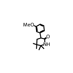 COc1cccc(C2CC(C)(C)C(C)(C)NC2=O)c1